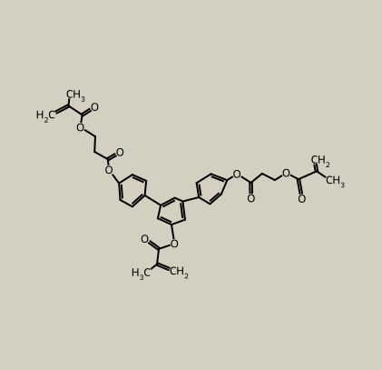 C=C(C)C(=O)OCCC(=O)Oc1ccc(-c2cc(OC(=O)C(=C)C)cc(-c3ccc(OC(=O)CCOC(=O)C(=C)C)cc3)c2)cc1